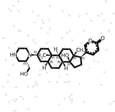 C[C@]12CC[C@H](N3CCNC[C@H]3CO)C[C@H]1CC[C@@H]1[C@@H]2CC[C@]2(C)[C@@H](c3ccc(=O)oc3)CC[C@]12O